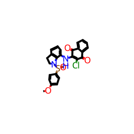 COc1ccc([S+]([O-])N2CCc3cccc(NC4=C(Cl)C(=O)c5ccccc5C4=O)c32)cc1